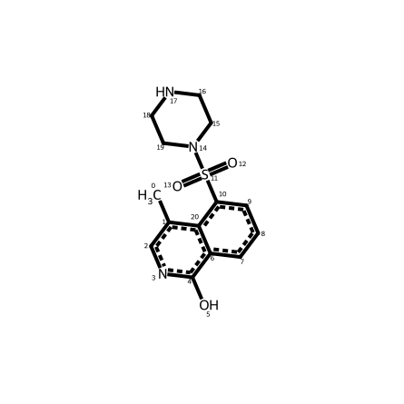 Cc1cnc(O)c2cccc(S(=O)(=O)N3CCNCC3)c12